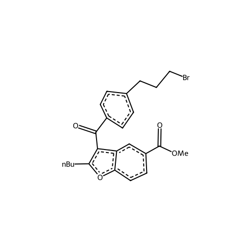 CCCCc1oc2ccc(C(=O)OC)cc2c1C(=O)c1ccc(CCCBr)cc1